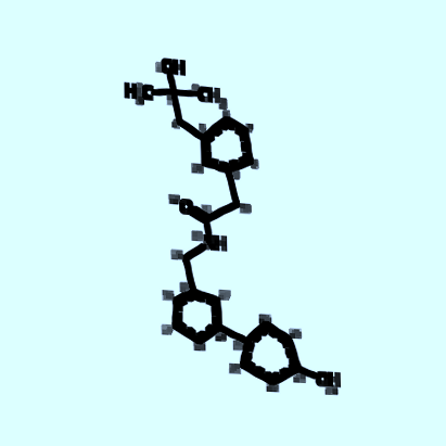 CC(C)(O)Cc1cccc(CC(=O)NCc2cccc(-c3ccc(O)cc3)c2)c1